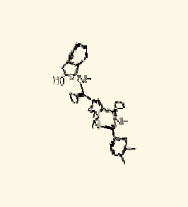 Cc1ccc(-c2nn3cc(C(=O)N[C@H]4c5ccccc5C[C@H]4O)cc3c(=O)[nH]2)cc1C